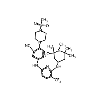 CN1C(C)(C)CC(Nc2nc(Nc3ccc(N4CCN(S(C)(=O)=O)CC4)c(C#N)c3)ncc2C(F)(F)F)CC1(C)C